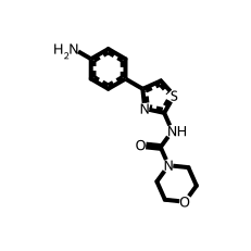 Nc1ccc(-c2csc(NC(=O)N3CCOCC3)n2)cc1